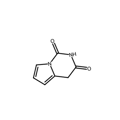 O=C1Cc2cccn2C(=O)N1